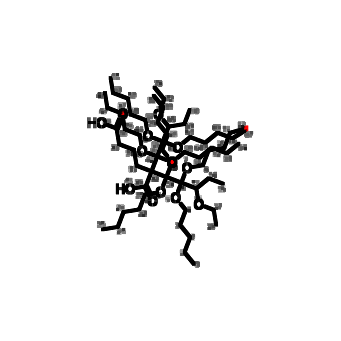 CCCCCOC(OCCCCC)(C(CC)OCC)C(OCCCCC)(OCCCCC)C(CCCC(=O)O)(C(=O)O)C(OCCCCC)(OCCCCC)C(OCCCCC)(OCCCCC)C(CC)OCC